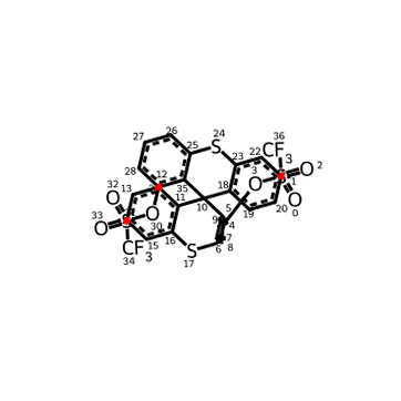 O=S(=O)(Oc1cccc2c1C1(c3ccccc3S2)c2ccccc2Sc2cccc(OS(=O)(=O)C(F)(F)F)c21)C(F)(F)F